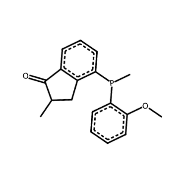 COc1ccccc1P(C)c1cccc2c1CC(C)C2=O